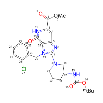 COC(=O)c1cc2nc(N3CCC[C@@H](NC(=O)OC(C)(C)C)C3)n(Cc3ccccc3Cl)c2c(=O)[nH]1